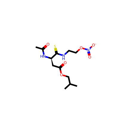 CC(=O)N[C@H](CC(=O)OCC(C)C)C(=S)NCCO[N+](=O)[O-]